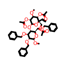 C=C[C@]1(COC(C)=O)O[C@@H](O[C@H]2[C@H](OCc3ccccc3)[C@@H](OCc3ccccc3)[C@@H](OC)O[C@@H]2COCc2ccccc2)[C@H](OC(C)=O)[C@@H](OC)[C@@H]1OC(C)=O